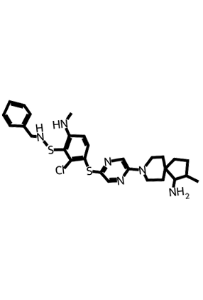 CNc1ccc(Sc2cnc(N3CCC4(CCC(C)C4N)CC3)cn2)c(Cl)c1SNCc1ccccc1